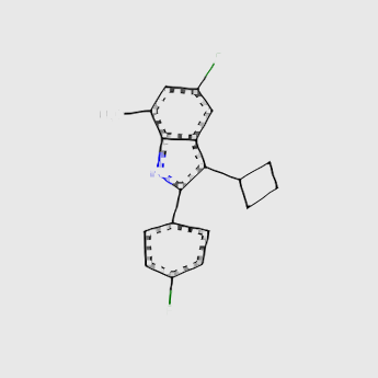 Cc1cc(F)cc2c(C3CCC3)c(-c3ccc(F)cc3)[nH]c12